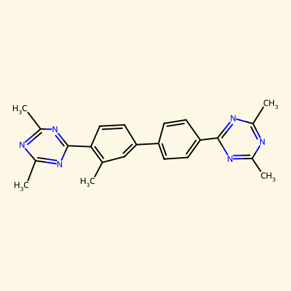 Cc1nc(C)nc(-c2ccc(-c3ccc(-c4nc(C)nc(C)n4)c(C)c3)cc2)n1